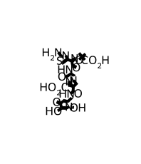 CC(C)(O/N=C(\C(=O)N[C@H]1CN2CC(C(=O)NCc3cc(=O)c(O)cn3O)=C(C(=O)O)N2C1=O)c1csc(N)n1)C(=O)O